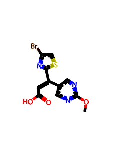 COc1ncc(/C(=C\C(=O)O)c2nc(Br)cs2)cn1